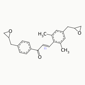 Cc1cc(CC2CO2)cc(C)c1/C=C/C(=O)c1ccc(CC2CO2)cc1